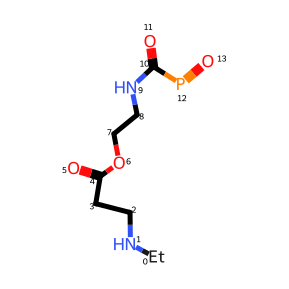 CCNCCC(=O)OCCNC(=O)P=O